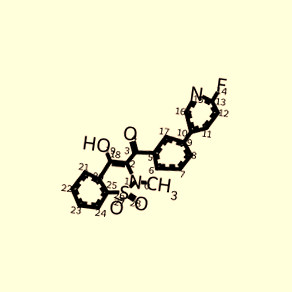 CN1C(C(=O)c2cccc(-c3ccc(F)nc3)c2)=C(O)c2ccccc2S1(=O)=O